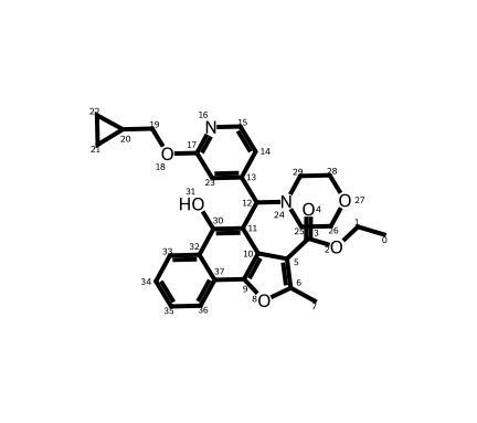 CCOC(=O)c1c(C)oc2c1c(C(c1ccnc(OCC3CC3)c1)N1CCOCC1)c(O)c1ccccc12